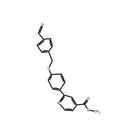 COC(=O)c1ccnc(-c2ccc(OCc3ccc(C=O)cc3)cc2)c1